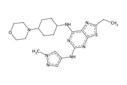 CCc1nc2c(NC3CCC(N4CCOCC4)CC3)nc(Nc3cnn(C)c3)nc2s1